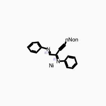 CCCCCCCCCC#CC(/C=N/c1ccccc1)=N\c1ccccc1.[Ni]